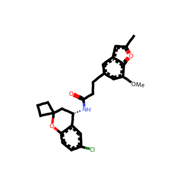 COc1cc(CCC(=O)N[C@H]2CC3(CCC3)Oc3ccc(Cl)cc32)cc2cc(C)oc12